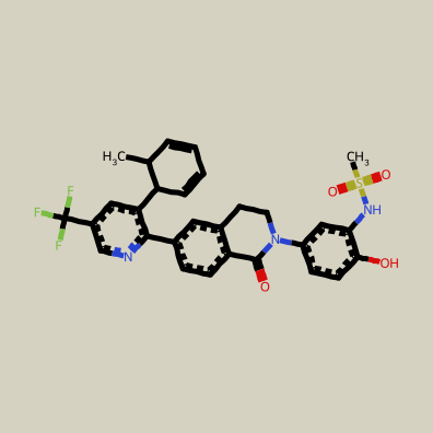 CC1C=CC=CC1c1cc(C(F)(F)F)cnc1-c1ccc2c(c1)CCN(c1ccc(O)c(NS(C)(=O)=O)c1)C2=O